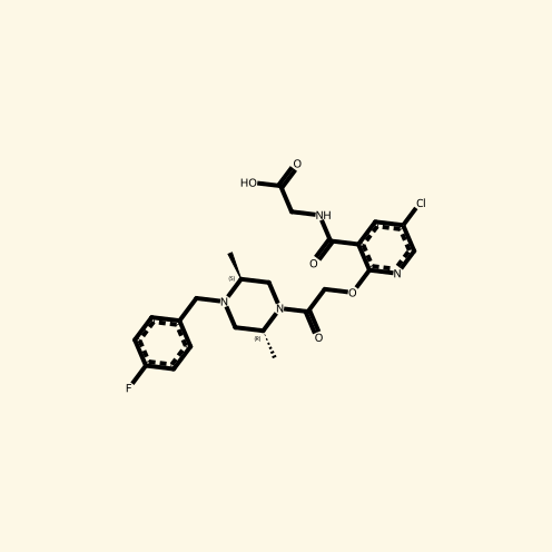 C[C@@H]1CN(Cc2ccc(F)cc2)[C@@H](C)CN1C(=O)COc1ncc(Cl)cc1C(=O)NCC(=O)O